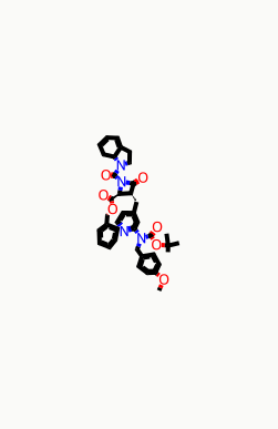 COc1ccc(CN(C(=O)OC(C)(C)C)c2cc(C[C@H]3C(=O)N(C(=O)N4CCC5=CC=CCC54)[C@@H]3C(=O)OCc3ccccc3)ccn2)cc1